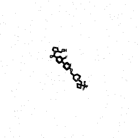 O=C(c1ccc(-c2ccc(OCC3CCN(CC4(C(F)(F)F)CCC4)CC3)nc2)c(F)c1)N1CCCC1CO